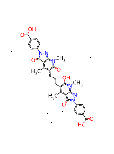 Cc1c(C=C/C=c2/c(C)c3c(n(C)c2=O)=NN(c2ccc(C(=O)O)cc2)C3=O)c(O)n(C)c2nn(-c3ccc(C(=O)O)cc3)c(=O)c1-2